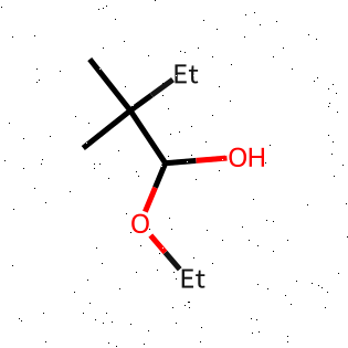 CCOC(O)C(C)(C)CC